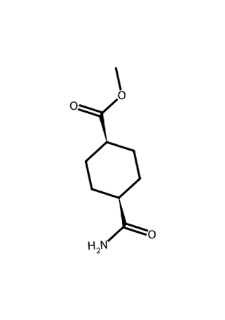 COC(=O)[C@H]1CC[C@@H](C(N)=O)CC1